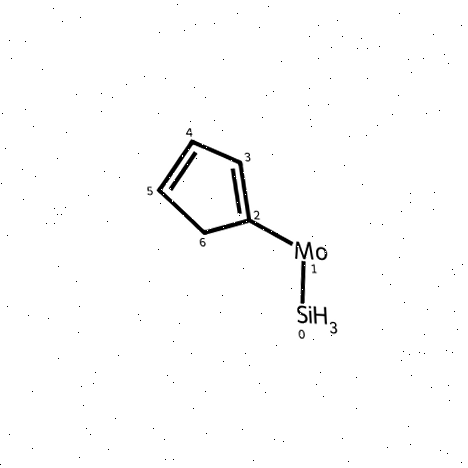 [SiH3][Mo][C]1=CC=CC1